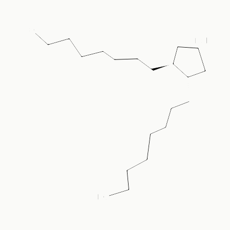 CCCCCCCC[C@H]1CCC[C@@H]1CCCCCCCO.Cl